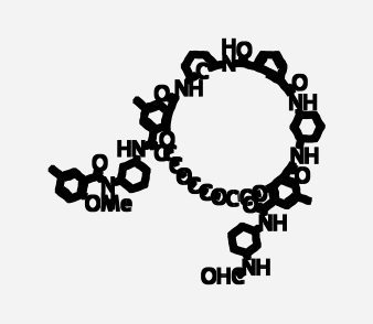 COc1ccc(C)cc1C(=O)NC1CCCC(NC(=O)c2cc(C)cc3c2OCCOCCOCCOc2c(C(=O)NC4CCCC(NC=O)C4)cc(C)cc2C(=O)NC2CCCC(C2)NC(=O)c2cccc(c2)C(=O)NC2CCCC(C2)NC3=O)C1